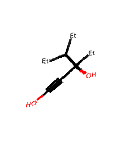 CCC(CC)C(O)(C#CO)CC